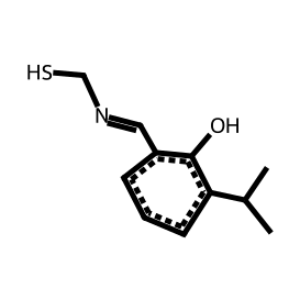 CC(C)c1cccc(/C=N/CS)c1O